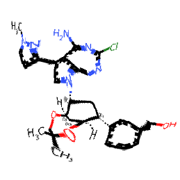 Cn1ccc(-c2cn([C@@H]3C[C@H](c4cccc(CO)c4)[C@H]4OC(C)(C)O[C@H]43)c3nc(Cl)nc(N)c23)n1